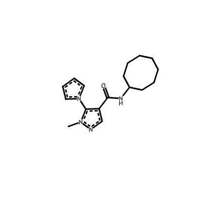 Cn1ncc(C(=O)NC2CCCCCCC2)c1-n1cccc1